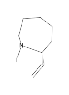 C=C[C@H]1CCCCCN1I